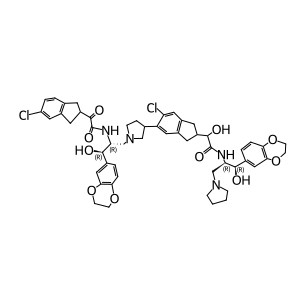 O=C(N[C@H](CN1CCC(c2cc3c(cc2Cl)CC(C(O)C(=O)N[C@H](CN2CCCC2)[C@H](O)c2ccc4c(c2)OCCO4)C3)C1)[C@H](O)c1ccc2c(c1)OCCO2)C(=O)C1Cc2ccc(Cl)cc2C1